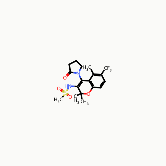 Cc1c(C(F)(F)F)ccc2c1C(N1CCCC1=O)=C(NS(C)(=O)=O)C(C)(C)O2